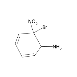 NC1C=CC=CC1(Br)[N+](=O)[O-]